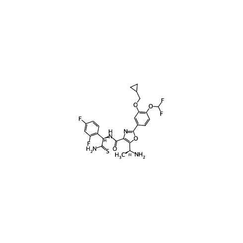 C[C@H](N)c1oc(-c2ccc(OC(F)F)c(OCC3CC3)c2)nc1C(=O)N[C@@H](C(N)=S)c1ccc(F)cc1F